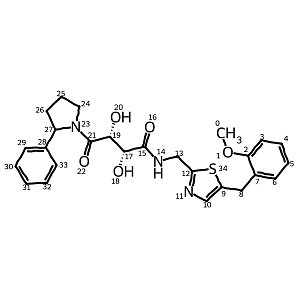 COc1ccccc1Cc1cnc(CNC(=O)[C@H](O)[C@@H](O)C(=O)N2CCCC2c2ccccc2)s1